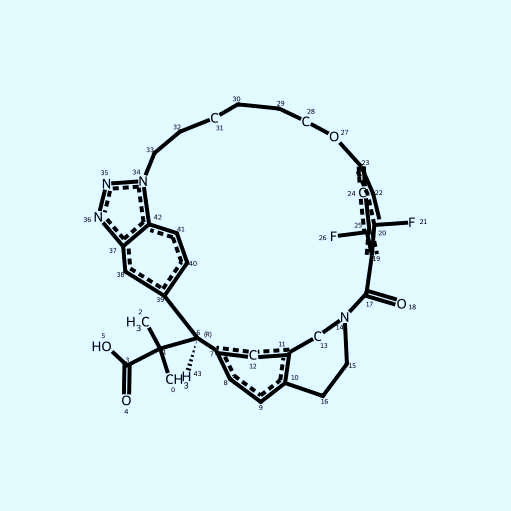 CC(C)(C(=O)O)[C@@H]1c2ccc3c(c2)CN(CC3)C(=O)c2c(F)cc(cc2F)OCCCCCCn2nnc3cc1ccc32